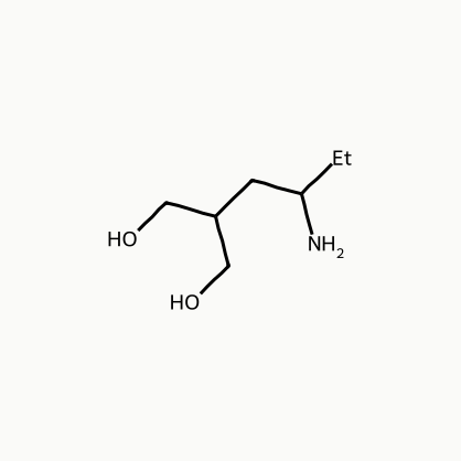 CCC(N)CC(CO)CO